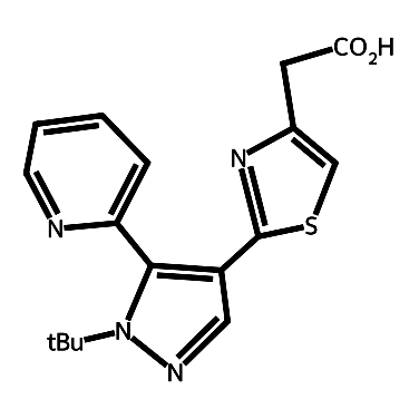 CC(C)(C)n1ncc(-c2nc(CC(=O)O)cs2)c1-c1ccccn1